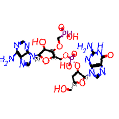 Nc1nc2c(ncn2[C@@H]2O[C@H](CO)CC2OP(=O)(O)OC[C@H]2O[C@@H](n3cnc4c(N)ncnc43)C(O)[C@H]2OC[PH](=O)O)c(=O)[nH]1